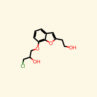 OCCc1cc2cccc(OCC(O)CCl)c2o1